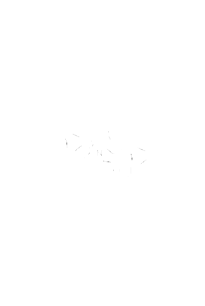 CCOC(=O)c1c2c(n(S(=O)(=O)c3ccc(C)cc3)c1C)C(=O)CC2c1ccccc1